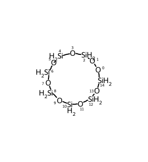 O1O[SiH2]O[SiH2]O[SiH2]O[SiH2]O[SiH2]O[SiH2]O[SiH2]1